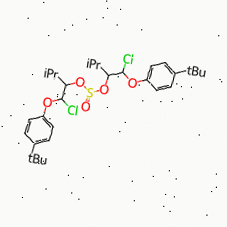 CC(C)C(OS(=O)OC(C(C)C)C(Cl)Oc1ccc(C(C)(C)C)cc1)C(Cl)Oc1ccc(C(C)(C)C)cc1